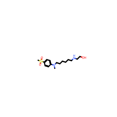 CN(CCCCCCNCCO)c1ccc(S(C)(=O)=O)cc1